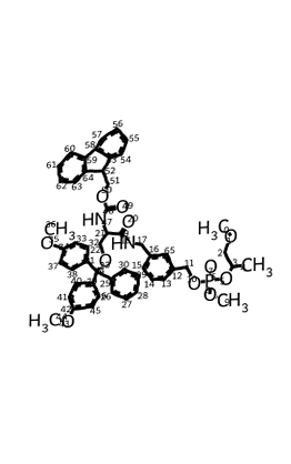 COCC(C)OP(=O)(OC)OCc1cccc(CNC(=O)C(COC(c2ccccc2)(c2ccc(OC)cc2)c2ccc(OC)cc2)NC(=O)OCC2c3ccccc3-c3ccccc32)c1